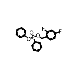 O=P(OCc1ccc(F)cc1F)(Oc1ccccc1)c1ccccc1